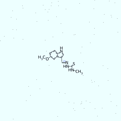 CNC(=S)N/N=C/c1c[nH]c2ccc(OC)cc12